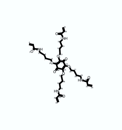 C=CC(=O)NCCCCOC1=C(OCCCCNC(=O)C=C)C(=O)C(OCCCCNC(=O)C=C)=C(OCCCCNC(=O)C=C)C1=O